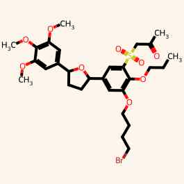 CCCOc1c(OCCCCBr)cc(C2CCC(c3cc(OC)c(OC)c(OC)c3)O2)cc1S(=O)(=O)CC(C)=O